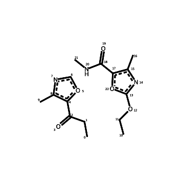 CCC(=O)c1ocnc1C.CCOc1nc(C)c(C(=O)NC)o1